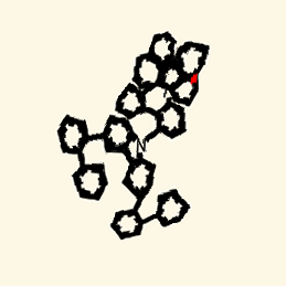 c1ccc(-c2ccccc2-c2ccc3c(c2)c2cc(-c4ccccc4-c4ccccc4)ccc2n3-c2cccc(-n3c4ccccc4c4ccccc43)c2-c2ccccc2C2c3ccccc3-c3ccccc32)cc1